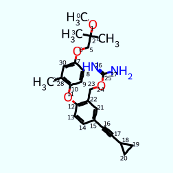 COC(C)(C)COc1ccc(Oc2ccc(C#CC3CC3)cc2COC(=N)N)c(C)c1